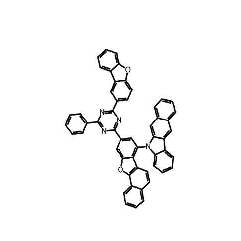 c1ccc(-c2nc(-c3cc(-n4c5ccccc5c5cc6ccccc6cc54)c4c(c3)oc3c5ccccc5ccc34)nc(-c3ccc4oc5ccccc5c4c3)n2)cc1